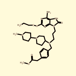 CCCCOc1nc(N)c2[nH]c(=O)n(CCCN(Cc3ccc(CC(=O)OC)cc3)C3CCN(C4CCN(C)CC4)CC3)c2n1